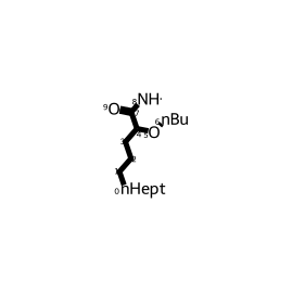 CCCCCCCCCCC(OCCCC)C([NH])=O